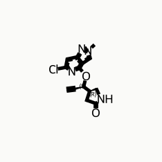 C#C[C@@H](Oc1nc(Cl)cc2nn(C)cc12)[C@H]1CNC(=O)C1